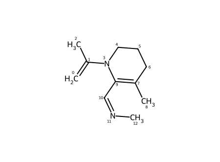 C=C(C)N1CCCC(C)=C1/C=N\C